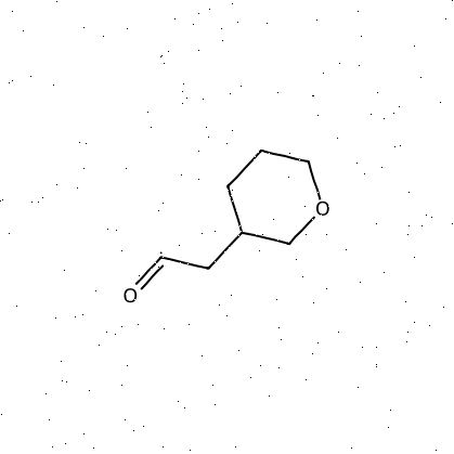 O=[C]CC1CCCOC1